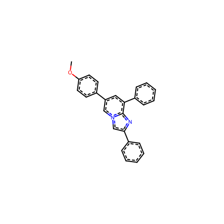 COc1ccc(-c2cc(-c3ccccc3)c3nc(-c4ccccc4)cn3c2)cc1